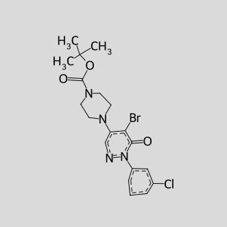 CC(C)(C)OC(=O)N1CCN(c2cnn(-c3cccc(Cl)c3)c(=O)c2Br)CC1